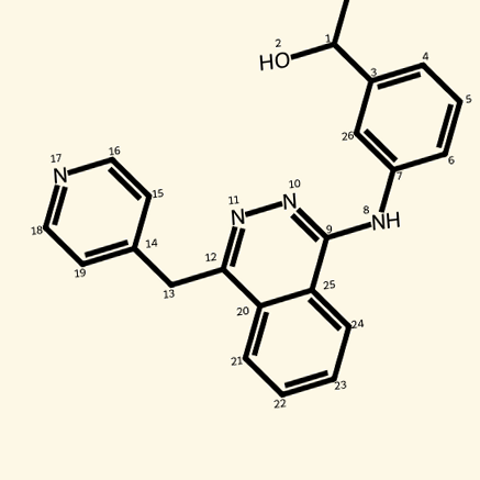 CC(O)c1cccc(Nc2nnc(Cc3ccncc3)c3ccccc23)c1